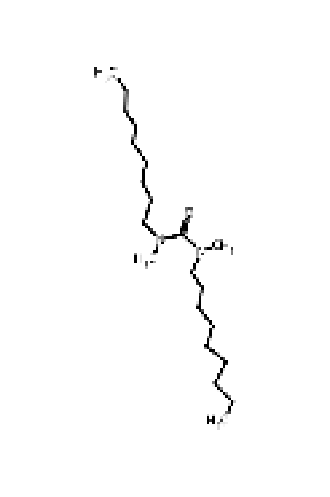 CCCCCCCCCN(C)C(=O)N(C)CCCCCCCCC